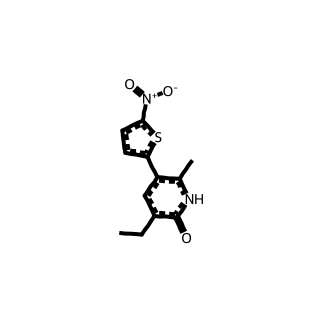 CCc1cc(-c2ccc([N+](=O)[O-])s2)c(C)[nH]c1=O